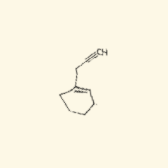 C#CCC1=C[CH]CCC1